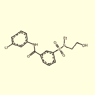 CCN(CCO)S(=O)(=O)c1cccc(C(=O)Nc2cccc(Cl)c2)c1